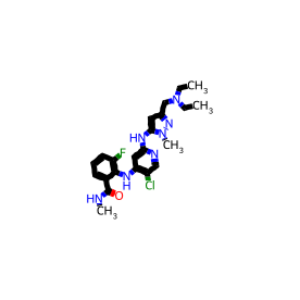 CCN(CC)Cc1cc(Nc2cc(Nc3c(F)cccc3C(=O)NC)c(Cl)cn2)n(C)n1